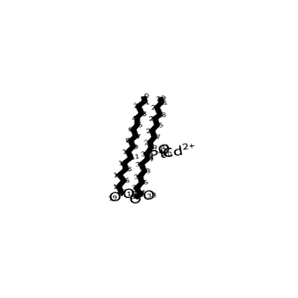 CCCCCCCCCCCCCCCCCC(=O)[O-].CCCCCCCCCCCCCCCCCC(=O)[O-].[Cd+2].[O]=[Pt]